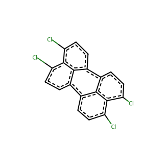 Clc1ccc2c3ccc(Cl)c4c(Cl)ccc(c5ccc(Cl)c1c25)c43